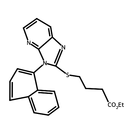 CCOC(=O)CCCSc1nc2cccnc2n1-c1cccc2ccccc12